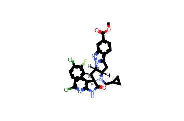 COC(=O)c1ccc2c3n(nc2c1)[C@@H]1[C@H](C3)N(CC2CC2)[C@@]2(C(=O)Nc3nc(Cl)ccc32)[C@H]1c1cccc(Cl)c1F